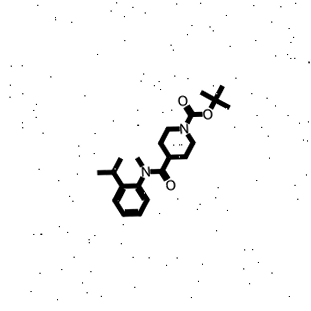 CC(C)c1ccccc1N(C)C(=O)C1CCN(C(=O)OC(C)(C)C)CC1